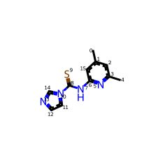 Cc1cc(C)nc(NC(=S)n2ccnc2)c1